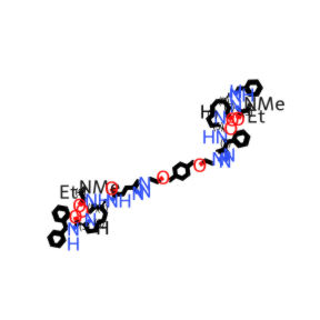 CC[C@H](NC)C(=O)N[C@@H]1C(=O)N2[C@@H](CC[C@@H]1CNC(=O)CCc1cn(CCOCC3CCC(COCCn4cc([C@@H](NC(=O)[C@@H]5CC[C@@H]6CC[C@H](CNCc7ccccc7)[C@H](NC(=O)[C@H](CC)NC)C(=O)N65)c5ccccc5)nn4)CC3)nn1)CC[C@H]2C(=O)NC(c1ccccc1)c1ccccc1